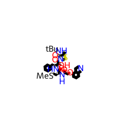 C=C1SCN(C(=O)[C@@H](O)[C@H](Cc2ccccc2)NC(=O)[C@H](CCSC)NC(=O)COc2cccc3cnccc23)[C@@H]1C(=O)NC(C)(C)C